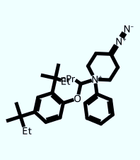 CCCC(Oc1ccc(C(C)(C)CC)cc1C(C)(C)CC)[N+]1(c2ccccc2)CCC(=[N+]=[N-])CC1